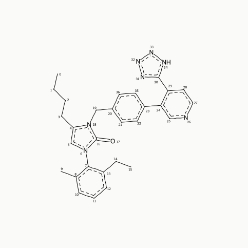 CCCCc1cn(-c2c(C)cccc2CC)c(=O)n1Cc1ccc(-c2cnccc2-c2nnn[nH]2)cc1